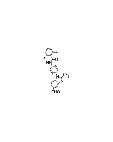 O=Cc1ccc2c(c1)nc(C(F)(F)F)n2-c1cnc(NC(=O)c2c(F)cccc2F)cn1